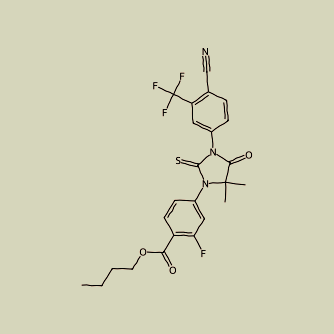 CCCCOC(=O)c1ccc(N2C(=S)N(c3ccc(C#N)c(C(F)(F)F)c3)C(=O)C2(C)C)cc1F